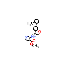 COC(=O)c1ccncc1NC[C@@H]1CCOc2cc(-c3ccccc3C)ccc21